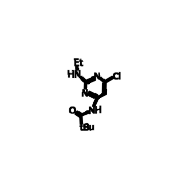 CCNc1nc(Cl)cc(NC(=O)C(C)(C)C)n1